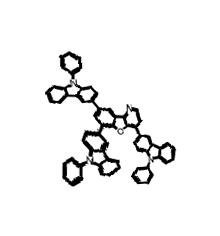 c1ccc(-n2c3ccccc3c3cc(-c4cc(-c5ccc6c(c5)c5ccccc5n6-c5ccccc5)c5oc6c(-c7ccc8c(c7)c7ccccc7n8-c7ccccc7)ccnc6c5c4)ccc32)cc1